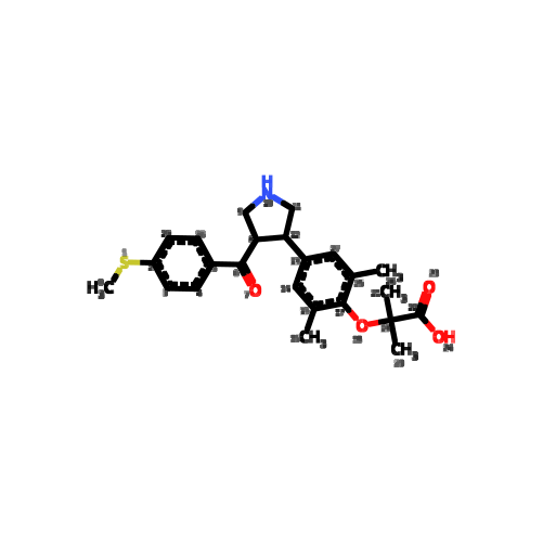 CSc1ccc(C(=O)C2CNCC2c2cc(C)c(OC(C)(C)C(=O)O)c(C)c2)cc1